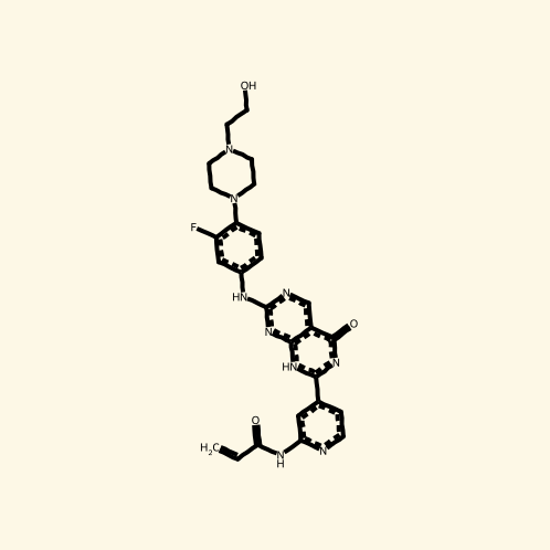 C=CC(=O)Nc1cc(-c2nc(=O)c3cnc(Nc4ccc(N5CCN(CCO)CC5)c(F)c4)nc3[nH]2)ccn1